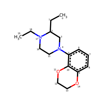 CCC1CN(c2cccc3c2OCCO3)CCN1CC